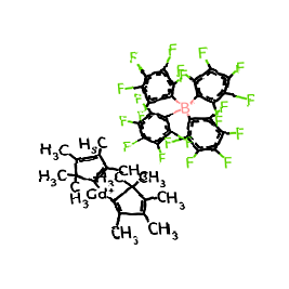 CC1=C(C)C(C)(C)[C]([Gd+][C]2=C(C)C(C)=C(C)C2(C)C)=C1C.Fc1c(F)c(F)c([B-](c2c(F)c(F)c(F)c(F)c2F)(c2c(F)c(F)c(F)c(F)c2F)c2c(F)c(F)c(F)c(F)c2F)c(F)c1F